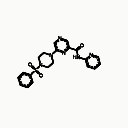 O=C(Nc1ccccn1)c1cncc(N2CCN(S(=O)(=O)c3ccccc3)CC2)n1